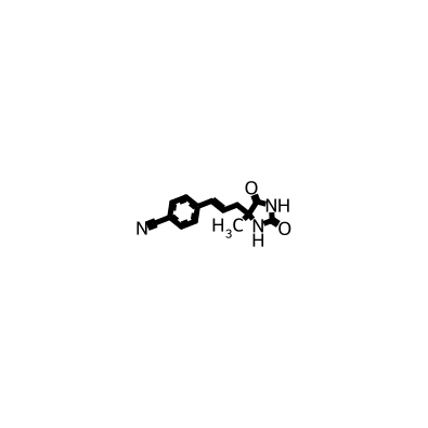 CC1(C/C=C/c2ccc(C#N)cc2)NC(=O)NC1=O